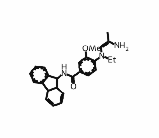 CCN(/C=C(/C)N)c1ccc(C(=O)NC2c3ccccc3C3C=CC=CC32)cc1OC